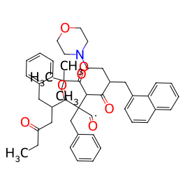 CCC(=O)CC(Cc1ccccc1)C(=O)C([C]=O)(Cc1ccccc1)C(C(=O)C(CC(=O)N1CCOCC1)Cc1cccc2ccccc12)C(=O)C(C)(C)C